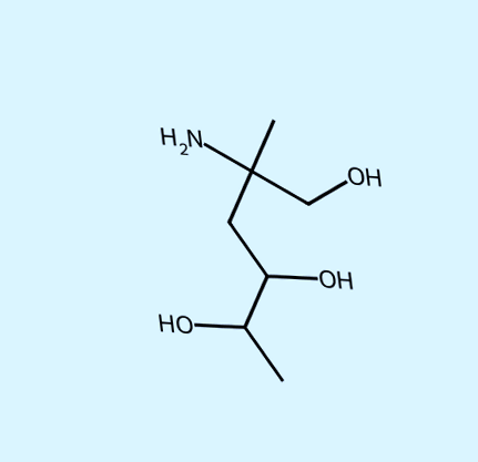 CC(O)C(O)CC(C)(N)CO